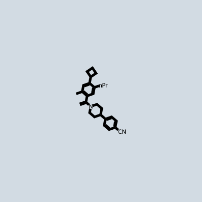 C=C(c1cc(CCC)c(C2CCC2)cc1C)N1CCC(c2ccc(C#N)cc2)CC1